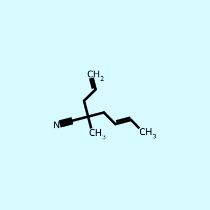 C=CCC(C)(C#N)CC=CC